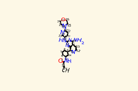 C#CC(=O)Nc1cccc(-c2nccc3c(N)nc(Nc4ccc(N5CCOCC5)nc4)nc23)c1